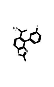 Cc1nc2c(-c3cccc(F)c3)c(C(C)N)ccc2s1